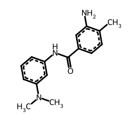 Cc1ccc(C(=O)Nc2cccc(N(C)C)c2)cc1N